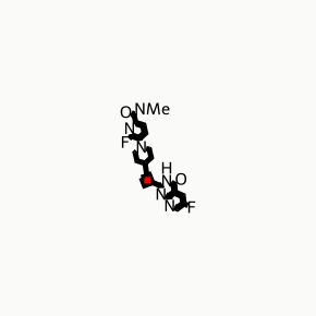 CNC(=O)c1ccc(N2CCC(N3CC4(c5nc6ncc(F)cc6c(=O)[nH]5)CC3C4)CC2)c(F)n1